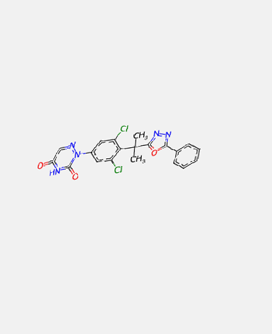 CC(C)(c1nnc(-c2ccccc2)o1)c1c(Cl)cc(-n2ncc(=O)[nH]c2=O)cc1Cl